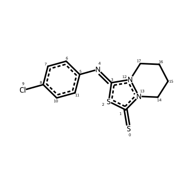 S=c1s/c(=N\c2ccc(Cl)cc2)n2n1CCCC2